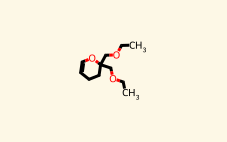 CCOCC1(COCC)CCC=CO1